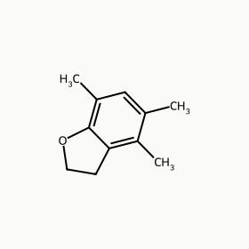 Cc1cc(C)c2c(c1C)CCO2